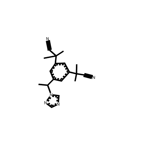 CC(c1cc(C(C)(C)C#N)cc(C(C)(C)C#N)c1)n1cncn1